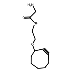 NCC(=O)NCCOC1C#CCCCCC1